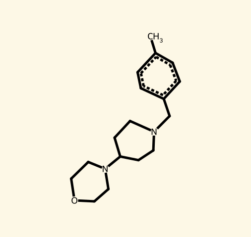 Cc1ccc(CN2CCC(N3CCOCC3)CC2)cc1